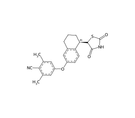 Cc1cc(Oc2ccc3c(c2)CCC[C@H]3C2SC(=O)NC2=O)cc(C)c1C#N